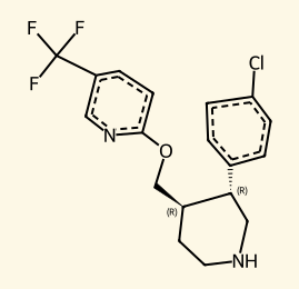 FC(F)(F)c1ccc(OC[C@@H]2CCNC[C@H]2c2ccc(Cl)cc2)nc1